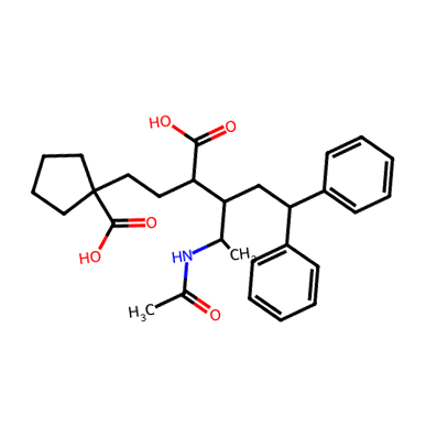 CC(=O)NC(C)C(CC(c1ccccc1)c1ccccc1)C(CCC1(C(=O)O)CCCC1)C(=O)O